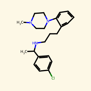 CC(NCCCc1ccccc1N1CCN(C)CC1)c1ccc(Cl)cc1